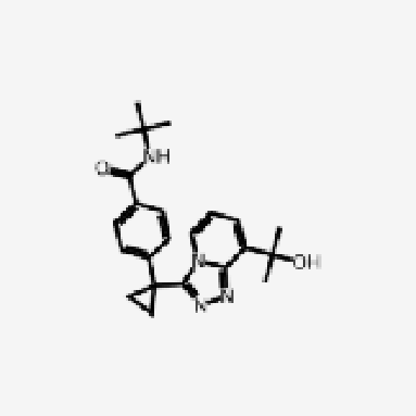 CC(C)(C)NC(=O)c1ccc(C2(c3nnc4c(C(C)(C)O)cccn34)CC2)cc1